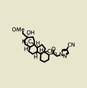 COC[C@]1(O)CC[C@@H]2CC[C@@H]3[C@H](CC[C@]4(C)[C@@H](C(=O)Cn5cc(C#N)cn5)CCC[C@@H]34)[C@@]2(C)CC1